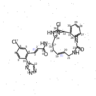 O=C(/C=C/c1cc(Cl)ccc1-n1cnnn1)N[C@H]1C/C=C/CNC(=O)Nc2ccccc2-c2nc1[nH]c2Cl